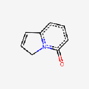 O=c1cccc2n1CC=C2